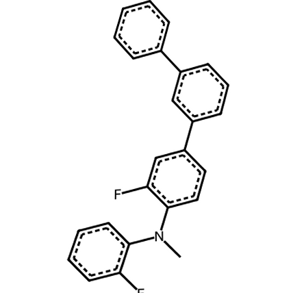 CN(c1ccccc1F)c1ccc(-c2cccc(-c3ccccc3)c2)cc1F